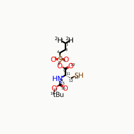 [2H]C([2H])CCS(=O)(=O)OC(=O)[C@H](CS)NC(=O)OC(C)(C)C